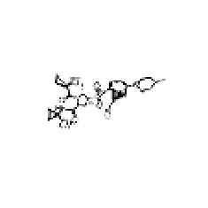 CN1CCN(c2ccc(S(=O)(=O)[C@@H]3CC(C(=O)NC4(C#N)CC4)N(C(=O)C4(C(F)(F)F)CC4)C3)c(Cl)c2)CC1